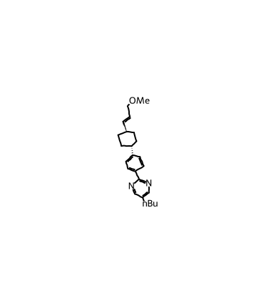 CCCCc1cnc(-c2ccc([C@H]3CC[C@H](/C=C/COC)CC3)cc2)nc1